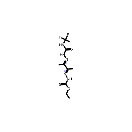 CCOC(=S)N/N=C(C)/C(C)=N/NC(=S)NC(F)(F)F